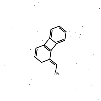 CCCC=C1CC=CC2=C1c1ccccc12